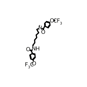 CN(CCCCCCCNC(=O)c1ccc(OC(F)(F)F)cc1)C(=O)c1ccc(OC(F)(F)F)cc1